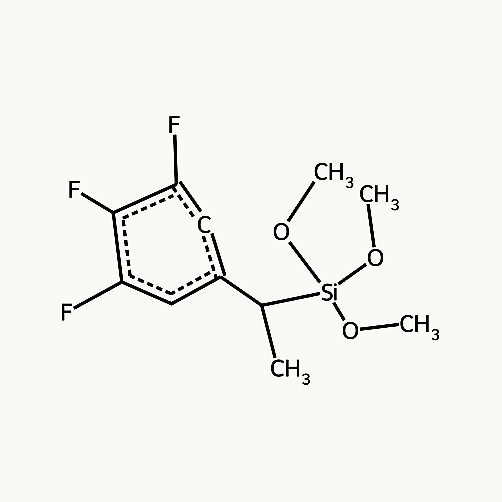 CO[Si](OC)(OC)C(C)c1cc(F)c(F)c(F)c1